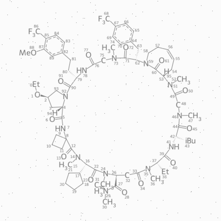 CCO[C@@H]1C[C@H]2C(=O)NC3(CCC3)C(=O)N(C)[C@@H](C3CCCC3)C(=O)N(C)[C@H](C(=O)N(C)C)CC(=O)N(C)[C@@H](CC)C(=O)N[C@@H]([C@@H](C)CC)C(=O)N(C)CC(=O)N(C)[C@H]3C/C=C\CCN(C3=O)[C@@H](Cc3ccc(C(F)(F)F)cc3)C(=O)N(C)CC(=O)N[C@@H](CCc3ccc(C(F)(F)F)c(OC)c3)C(=O)N2C1